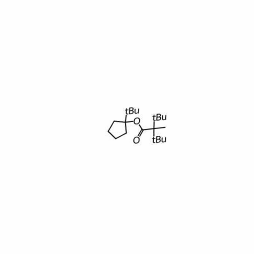 CC(C)(C)C1(OC(=O)C(C)(C(C)(C)C)C(C)(C)C)CCCC1